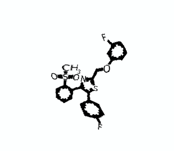 CS(=O)(=O)c1ccccc1-c1nc(COc2cccc(F)c2)sc1-c1ccc(F)cc1